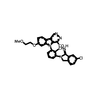 COCCOc1ccc2c3cnnc(C(=O)O)c3n(-c3cccc(N4Cc5ccc(Cl)cc5C4=O)c3C)c2c1